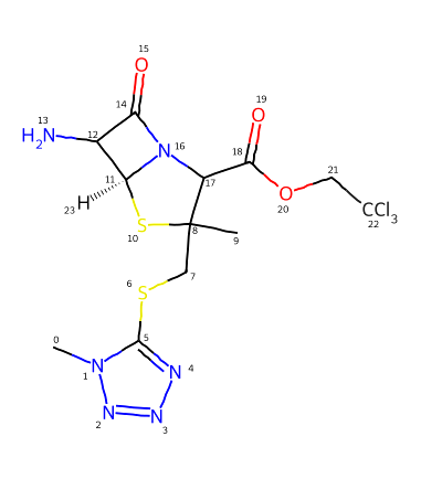 Cn1nnnc1SCC1(C)S[C@H]2C(N)C(=O)N2C1C(=O)OCC(Cl)(Cl)Cl